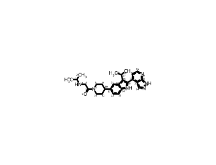 CC(C)NCC(=O)N1CCC(c2ccc3[nH]c(-c4ccnc5[nH]ncc45)c(C(C)C)c3c2)CC1